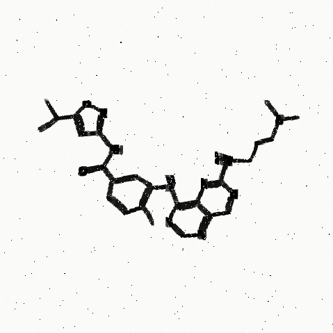 C=C(C)c1cc(NC(=O)c2ccc(C)c(Nc3ncnc4cnc(NCCCN(C)C)nc34)c2)no1